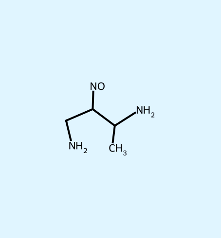 CC(N)C(CN)N=O